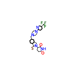 O=C1CCC(N2Cc3cc(CN4CCN(c5ccc(C(F)(F)F)cn5)CC4)ccc3C2=S)C(=O)N1